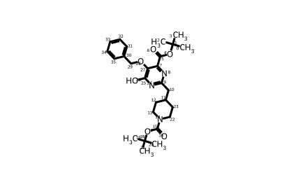 CC(C)(C)OC(=O)c1nc(CC2CCN(C(=O)OC(C)(C)C)CC2)nc(O)c1OCc1ccccc1